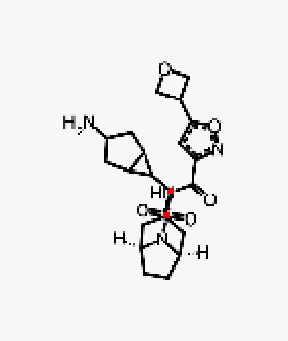 NC1CC2C(C1)C2CS(=O)(=O)N1[C@@H]2CC[C@H]1CC(NC(=O)c1cc(C3COC3)on1)C2